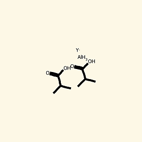 CC(C)C(=O)O.CC(C)C(=O)O.[AlH3].[Y]